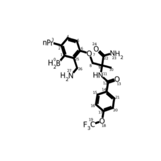 Bc1c(CCC)ccc(OCC(C)(NC(=O)c2ccc(OC(F)(F)F)cc2)C(N)=O)c1CN